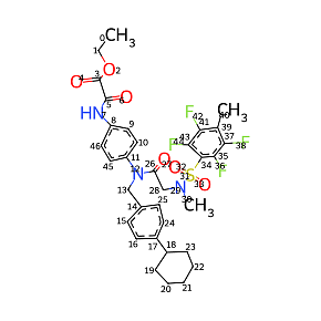 CCOC(=O)C(=O)Nc1ccc(N(Cc2ccc(C3CCCCC3)cc2)C(=O)CN(C)S(=O)(=O)c2c(F)c(F)c(C)c(F)c2F)cc1